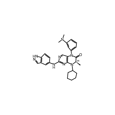 C[C@@H]1C(=O)N(c2cccc(N(C)C)c2)c2cnc(Nc3ccc4[nH]ncc4c3)nc2N1C1CCCCC1